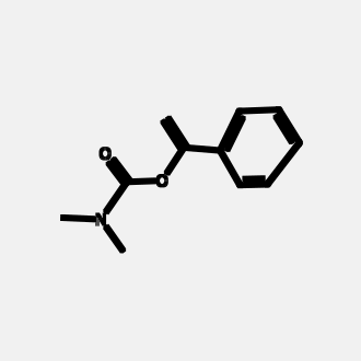 C=C(OC(=O)N(C)C)c1ccccc1